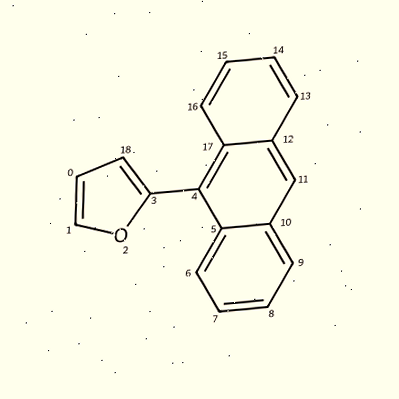 c1coc(-c2c3ccccc3cc3ccccc23)c1